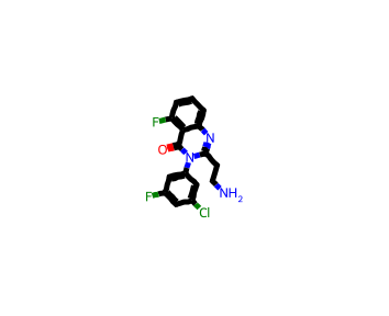 NCCc1nc2cccc(F)c2c(=O)n1-c1cc(F)cc(Cl)c1